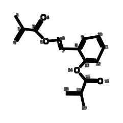 C=C(C)C(=O)ON=Cc1ccccc1OC(=O)C(=C)C